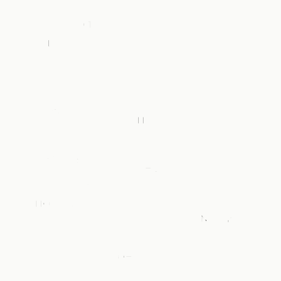 Cc1oc2c(C3CCN(C)CC3O)c(O)cc(O)c2c(=O)c1C(O)c1cccc(Cl)c1CI